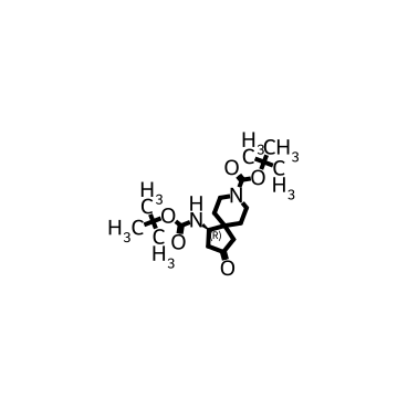 CC(C)(C)OC(=O)N[C@@H]1CC(=O)CC12CCN(C(=O)OC(C)(C)C)CC2